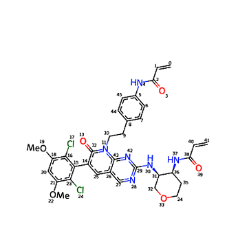 C=CC(=O)Nc1ccc(CCn2c(=O)c(-c3c(Cl)c(OC)cc(OC)c3Cl)cc3cnc(N[C@@H]4COCC[C@@H]4NC(=O)C=C)nc32)cc1